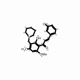 COc1cc(C)c(CN2CCCCC2)c(O)c1C(=O)/C=C/c1cccc(Cl)c1